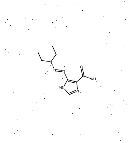 CCN(CC)N=Nc1[nH]cnc1C(N)=O